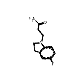 NC(=O)[CH]CN1CCc2cc(F)ccc21